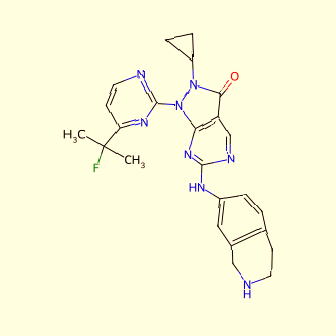 CC(C)(F)c1ccnc(-n2c3nc(Nc4ccc5c(c4)CNCC5)ncc3c(=O)n2C2CC2)n1